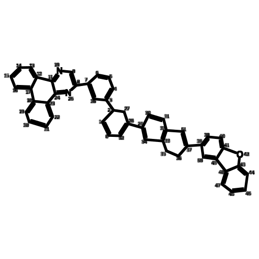 C1=CC(c2cccc(-c3cnc4c5ccccc5c5ccccc5c4n3)c2)CC(c2ccc3c(c2)CCC(c2ccc4oc5ccccc5c4c2)=C3)=C1